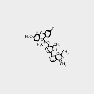 COc1ccnc(C(=O)N[C@@H](C)C(=O)O[C@@H](C)[C@H](c2ccc(C)cc2)c2ccc(F)cc2C)c1OC(C)=O